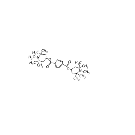 CN1C(C)(C)CC(OC(=O)c2ccc(C(=O)OC3CC(C)(C)N(C)C(C)(C)C3)cc2)CC1(C)C